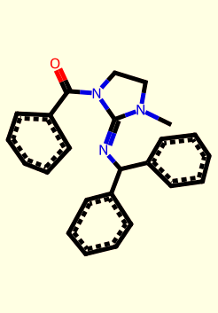 CN1CCN(C(=O)c2ccccc2)C1=NC(c1ccccc1)c1ccccc1